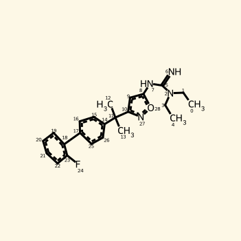 CCN(CC)C(=N)Nc1cc(C(C)(C)c2ccc(-c3ccccc3F)cc2)no1